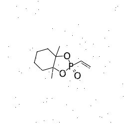 C=CP1(=O)OC2(C)CCCCC2(C)O1